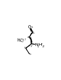 CCC(N)=C[C]=O.Cl